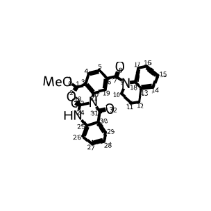 COC(=O)c1ccc(C(=O)N2CCCc3ccccc32)cc1-n1c(=O)[nH]c2ccccc2c1=O